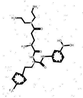 NCCN(CCN)C(=O)CC[C@H](N)C(=O)N[C@H](CCc1ccc(C(F)(F)F)cc1)C(=O)Nc1cccc(B(O)O)c1